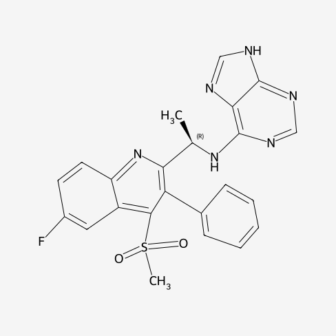 C[C@@H](Nc1ncnc2[nH]cnc12)c1nc2ccc(F)cc2c(S(C)(=O)=O)c1-c1ccccc1